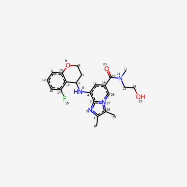 Cc1nc2c(NC3CCOc4cccc(F)c43)cc(C(=O)N(C)CCO)cn2c1C